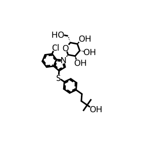 CC(C)(O)CCc1ccc(Sc2cn([C@@H]3O[C@H](CO)[C@@H](O)[C@H](O)[C@H]3O)c3c(Cl)cccc23)cc1